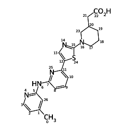 Cc1ccnc(Nc2cccc(-c3cnc(N4CCCC(CC(=O)O)C4)s3)n2)c1